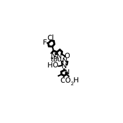 Cc1cc(N2CCN(C(=O)c3ccc4c(-c5ccc(Cl)c(F)c5)cn(C(C)(C)C)c4n3)CC2CO)nc(C)c1C(=O)O